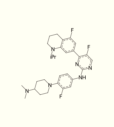 CC(C)N1CCCc2c(F)cc(-c3nc(Nc4ccc(N5CCC(N(C)C)CC5)c(F)c4)ncc3F)cc21